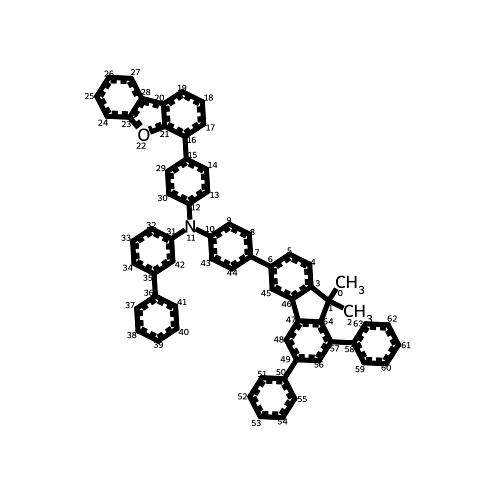 CC1(C)c2ccc(-c3ccc(N(c4ccc(-c5cccc6c5oc5ccccc56)cc4)c4cccc(-c5ccccc5)c4)cc3)cc2-c2cc(-c3ccccc3)cc(-c3ccccc3)c21